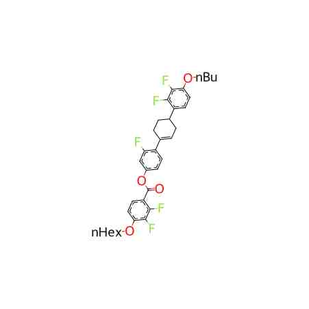 CCCCCCOc1ccc(C(=O)Oc2ccc(C3=CCC(c4ccc(OCCCC)c(F)c4F)CC3)c(F)c2)c(F)c1F